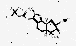 [C-]#[N+]C1=C[C@]2(C)c3nn(C)c(NC(=O)OC(C)(C)C)c3CC[C@H]2C(C)(C)C1=O